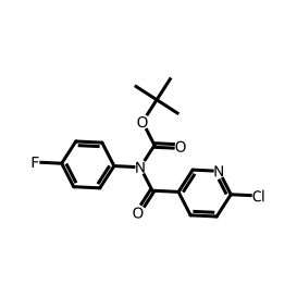 CC(C)(C)OC(=O)N(C(=O)c1ccc(Cl)nc1)c1ccc(F)cc1